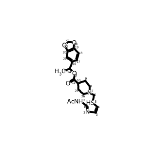 CC(=O)NC1=NC=C[SH]1CN1CCC(C(=O)OC(C)c2ccc3c(c2)OCO3)CC1